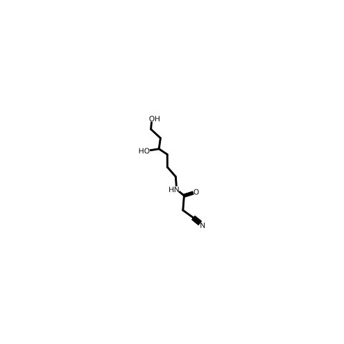 N#CCC(=O)NCCCC(O)CCO